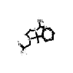 CC1(c2ccccc2)N(CC(N)=O)CCN1C(N)=O